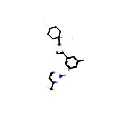 Cc1cc(Nc2nccc(C(F)(F)F)n2)cc(-c2cnc([C@]3(O)CC[C@H](N)CC3)s2)c1